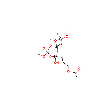 CO[SiH](OC)O[Si]1(OC)O[Si](O)(CCCOC(C)=O)O[Si](OC)(OC)O1